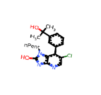 CCCCCn1c(O)nc2ncc(Cl)c(-c3cccc(C(C)(C)O)c3)c21